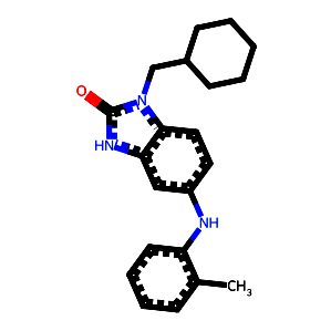 Cc1ccccc1Nc1ccc2c(c1)[nH]c(=O)n2CC1CCCCC1